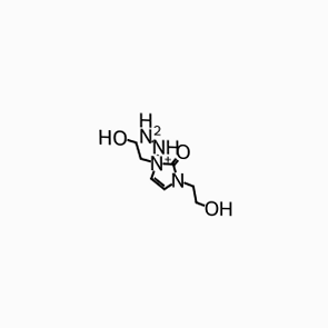 NN[N+]1(CCO)C=CN(CCO)C1=O